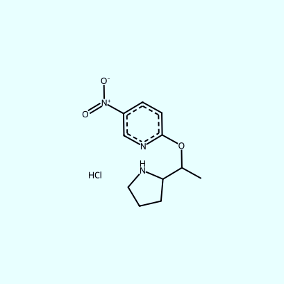 CC(Oc1ccc([N+](=O)[O-])cn1)C1CCCN1.Cl